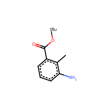 Cc1c(N)cccc1C(=O)OC(C)(C)C